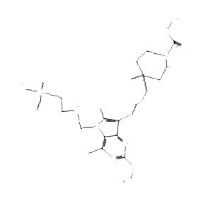 CCCCOc1nc(N)c2c(n1)c(CCCC1(O)CCN(C(=O)OC(C)(C)C)CC1)c(C#N)n2COCC[Si](C)(C)C